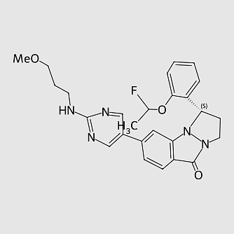 COCCCNc1ncc(-c2ccc3c(=O)n4n(c3c2)[C@H](c2ccccc2OC(C)F)CC4)cn1